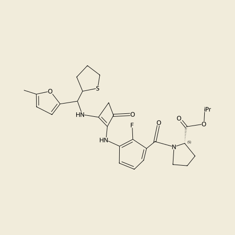 Cc1ccc(C(NC2=C(Nc3cccc(C(=O)N4CCC[C@H]4C(=O)OC(C)C)c3F)C(=O)C2)C2CCCS2)o1